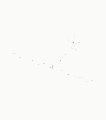 CCCCCCCCCN(CCCCCCCCC)CCCCC(F)(F)C(F)(F)F